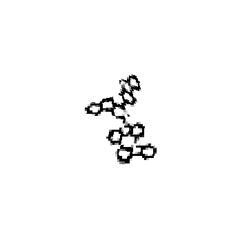 c1ccc2c(c1)ccc1c(-c3ccc4c(c3)oc3ccccc34)nc(-n3c4cccc5c6cccc7c8ccccc8n(c8cccc3c8c54)c67)nc12